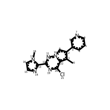 Cc1c(-c2cccnc2)cn2nc(-c3nccn3C)nc(Cl)c12